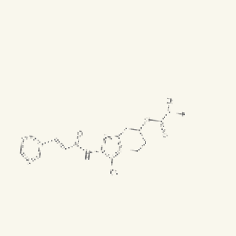 CCN(CC)C(=O)OC1CCc2c(sc(NC(=O)C=Cc3cccnc3)c2C#N)C1